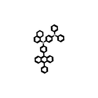 c1ccc(-c2c3ccccc3c(-c3ccc(N(c4ccc(N(c5ccccc5)c5ccccc5)cc4)c4cccc5c4CCCC5)cc3)c3ccccc23)cc1